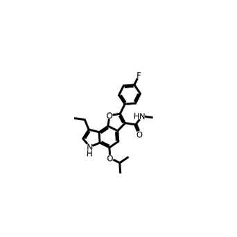 CCc1c[nH]c2c(OC(C)C)cc3c(C(=O)NC)c(-c4ccc(F)cc4)oc3c12